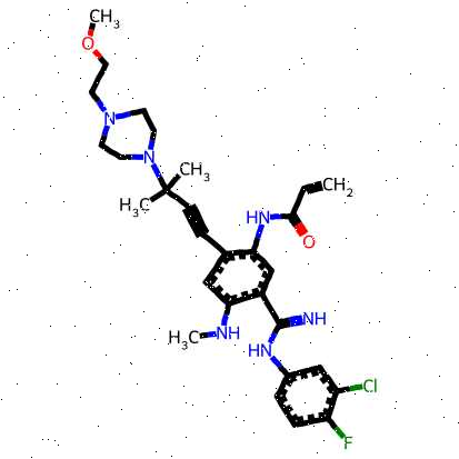 C=CC(=O)Nc1cc(C(=N)Nc2ccc(F)c(Cl)c2)c(NC)cc1C#CC(C)(C)N1CCN(CCOC)CC1